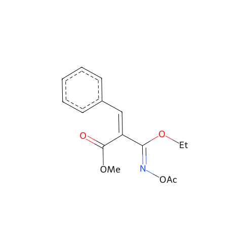 CCOC(=NOC(C)=O)C(=Cc1ccccc1)C(=O)OC